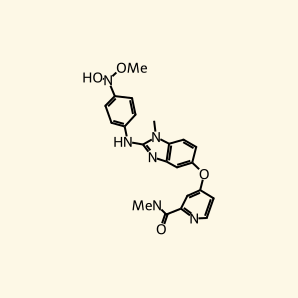 CNC(=O)c1cc(Oc2ccc3c(c2)nc(Nc2ccc(N(O)OC)cc2)n3C)ccn1